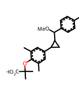 COC(c1ccc(C)cc1)C1CC1c1cc(C)c(OC(C)(C)C(=O)O)c(C)c1